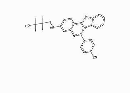 CC(C)(O)C(C)(C)OBc1ccc2c(c1)nc(-c1ccc(C#N)cc1)n1c3ccccc3nc21